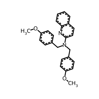 COc1ccc(CN(Cc2ccc(OC)cc2)c2ccc3ccccc3n2)cc1